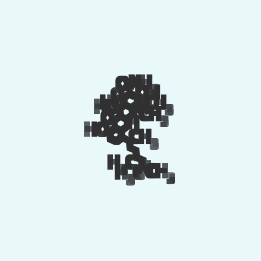 C/C(=C\C=C(/C)c1ccc(O)c2c1C[C@H]1C[C@H]3[C@H](N(C)C)C(O)=C(C(N)=O)C(=O)[C@@]3(O)C(O)=C1C2=O)CN(C)C